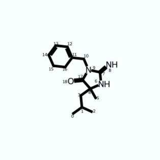 CC(C)CC1(C)NC(=N)N(CC2=CC=CCC2)C1=O